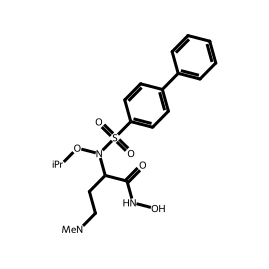 CNCCC(C(=O)NO)N(OC(C)C)S(=O)(=O)c1ccc(-c2ccccc2)cc1